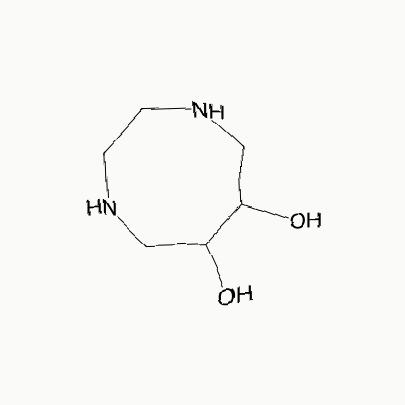 OC1CNCCNCC1O